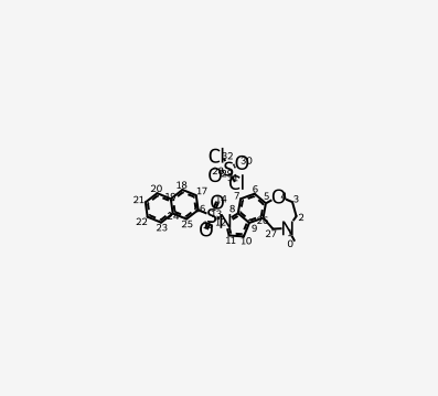 CN1CCOc2ccc3c(ccn3S(=O)(=O)c3ccc4ccccc4c3)c2C1.O=S(=O)(Cl)Cl